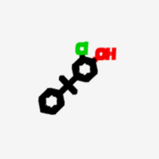 CC(C)(c1ccccc1)c1ccc(O)c(Cl)c1